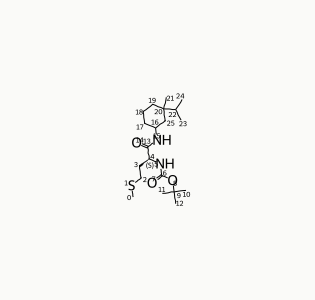 CSCC[C@H](NC(=O)OC(C)(C)C)C(=O)NC1CCCC(C)(C(C)C)C1